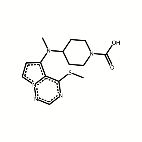 CSc1ncnn2ccc(N(C)C3CCN(C(=O)O)CC3)c12